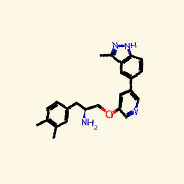 Cc1ccc(C[C@H](N)COc2cncc(-c3ccc4[nH]nc(C)c4c3)c2)cc1C